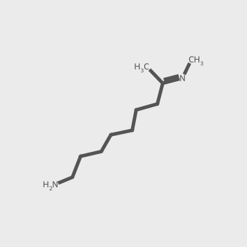 C/N=C(\C)CCCCCCCN